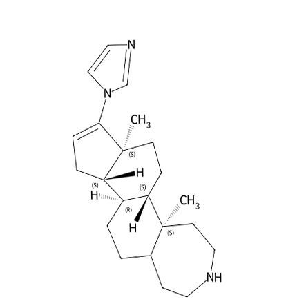 C[C@]12CCNCCC1CC[C@@H]1[C@@H]2CC[C@]2(C)C(n3ccnc3)=CC[C@@H]12